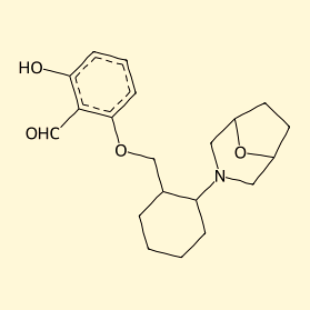 O=Cc1c(O)cccc1OCC1CCCCC1N1CC2CCC(C1)O2